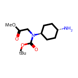 COC(=O)CN(C(=O)OC(C)(C)C)[C@H]1CC[C@H](N)CC1